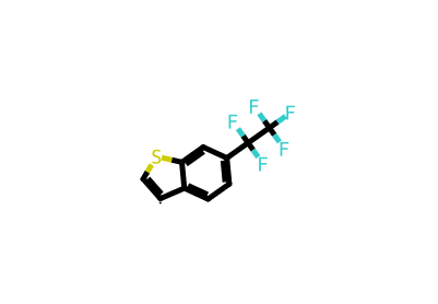 FC(F)(F)C(F)(F)c1ccc2[c]csc2c1